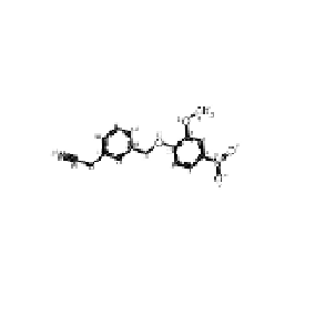 COc1cc([N+](=O)[O-])ccc1OCc1cccc(CC#N)c1